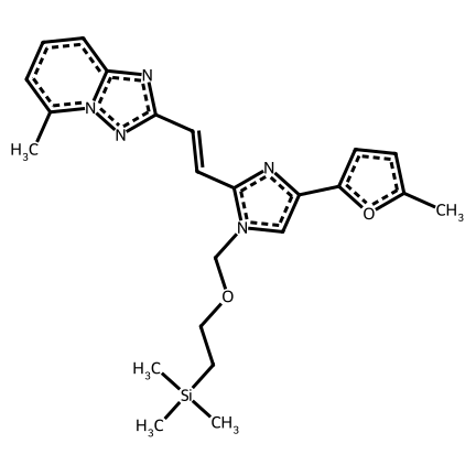 Cc1ccc(-c2cn(COCC[Si](C)(C)C)c(C=Cc3nc4cccc(C)n4n3)n2)o1